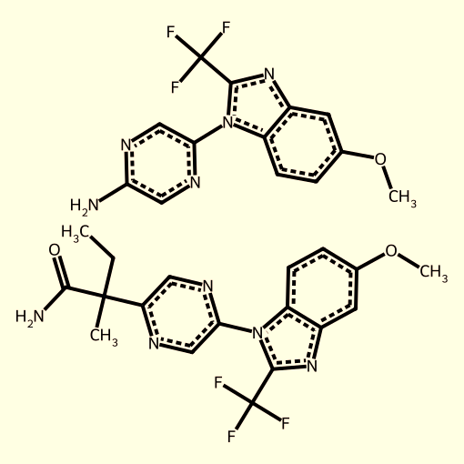 CCC(C)(C(N)=O)c1cnc(-n2c(C(F)(F)F)nc3cc(OC)ccc32)cn1.COc1ccc2c(c1)nc(C(F)(F)F)n2-c1cnc(N)cn1